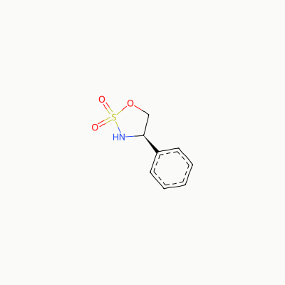 O=S1(=O)N[C@H](c2ccccc2)CO1